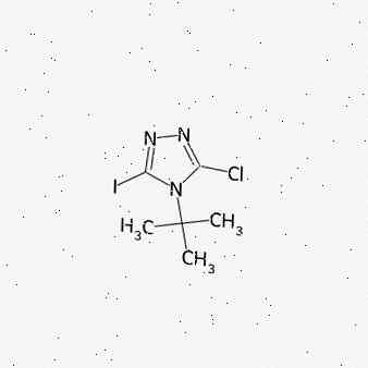 CC(C)(C)n1c(Cl)nnc1I